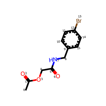 CC(=O)OCC(=O)NCc1ccc(Br)cc1